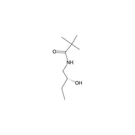 CC[C@@H](O)CNC(=O)C(C)(C)C